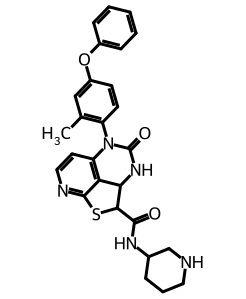 Cc1cc(Oc2ccccc2)ccc1N1C(=O)NC2c3c1ccnc3SC2C(=O)NC1CCCNC1